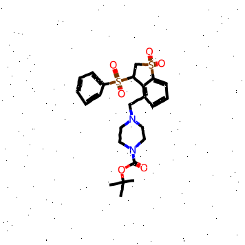 CC(C)(C)OC(=O)N1CCN(Cc2cccc3c2C(S(=O)(=O)c2ccccc2)CS3(=O)=O)CC1